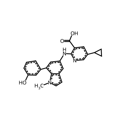 Cn1ccc2cc(Nc3ncc(C4CC4)cc3C(=O)O)cc(-c3cccc(O)c3)c21